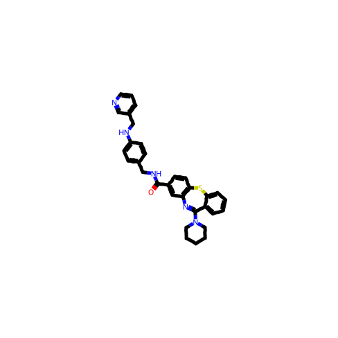 O=C(NCc1ccc(NCc2cccnc2)cc1)c1ccc2c(c1)N=C(N1CCCCC1)c1ccccc1S2